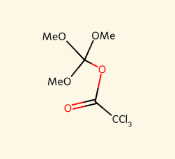 COC(OC)(OC)OC(=O)C(Cl)(Cl)Cl